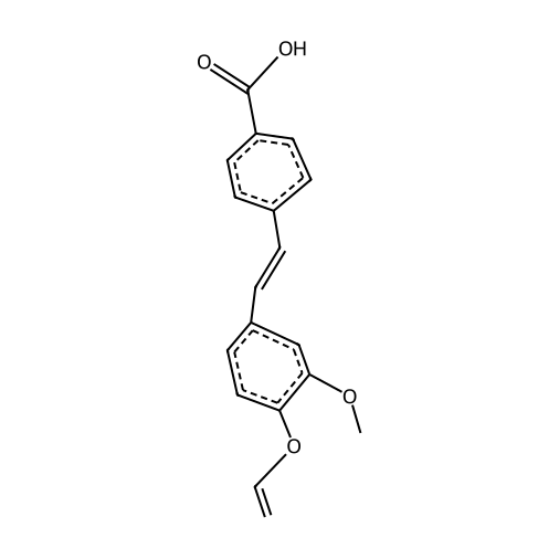 C=COc1ccc(/C=C/c2ccc(C(=O)O)cc2)cc1OC